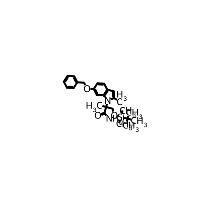 Cc1cc2ccc(OCc3ccccc3)cc2n1C(C)(CO[Si](C)(C)C(C)(C)C)C(N)=O